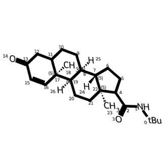 CC(C)(C)NC(=O)C1CC[C@H]2[C@@H]3CCC4CC(=O)C=C[C@]4(C)[C@@H]3CC[C@]12C